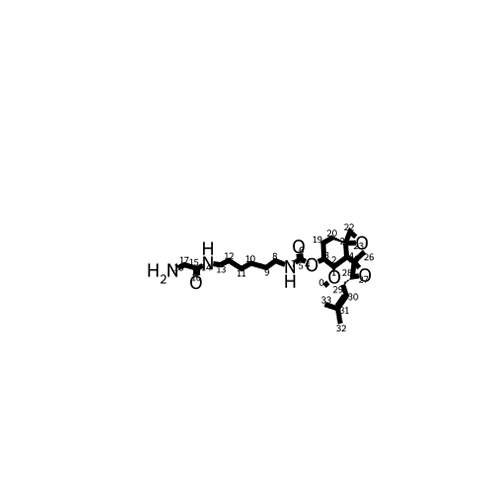 CO[C@H]1C(OC(=O)NCCCCCCNC(=O)CN)CC[C@]2(CO2)C1C1(C)O[C@@H]1CC=C(C)C